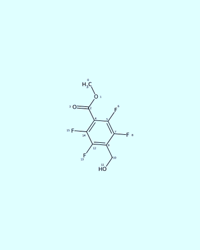 COC(=O)c1c(F)c(F)c(CO)c(F)c1F